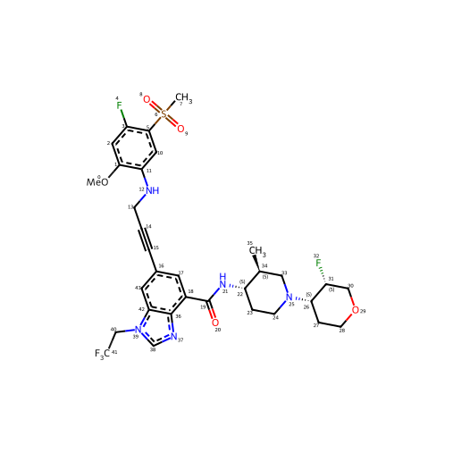 COc1cc(F)c(S(C)(=O)=O)cc1NCC#Cc1cc(C(=O)N[C@H]2CCN([C@H]3CCOC[C@H]3F)C[C@@H]2C)c2ncn(CC(F)(F)F)c2c1